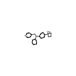 N#CC1(c2ccc(N(Cc3ccncc3)c3[c]cccc3)cc2)CCC1